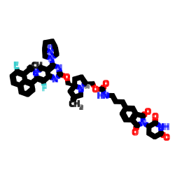 C#Cc1c(F)ccc2cccc(-c3ncc4c(N5CC6CCC(C5)N6)nc(OC[C@@]56CC[C@@H](COC(=O)NCCCc7ccc8c(c7)C(=O)N(C7CCC(=O)NC7=O)C8=O)N5CC(=C)C6)nc4c3F)c12